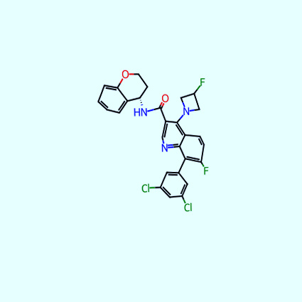 O=C(N[C@H]1CCOc2ccccc21)c1cnc2c(-c3cc(Cl)cc(Cl)c3)c(F)ccc2c1N1CC(F)C1